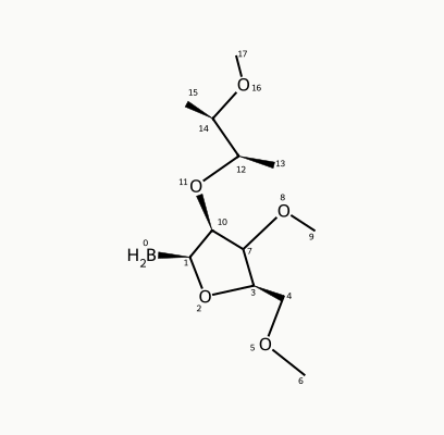 B[C@@H]1O[C@H](COC)C(OC)[C@@H]1O[C@H](C)[C@@H](C)OC